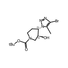 Cc1c(Br)nnn1[C@H]1CCN(C(=O)OC(C)(C)C)C[C@@H]1O